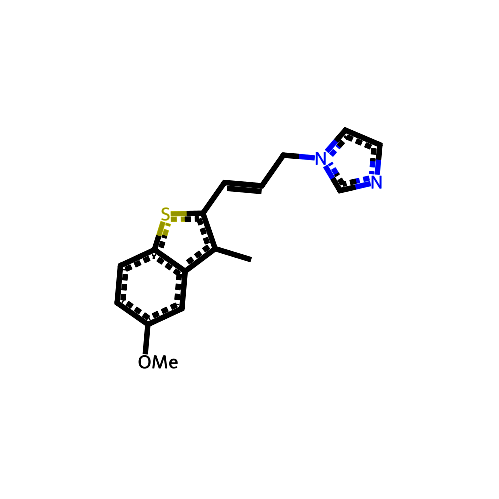 COc1ccc2sc(C=CCn3ccnc3)c(C)c2c1